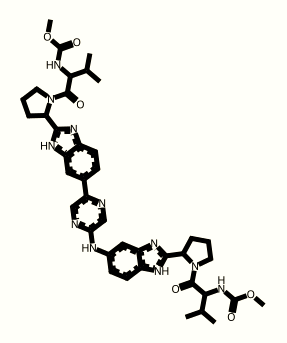 COC(=O)NC(C(=O)N1CCCC1c1nc2cc(Nc3cnc(-c4ccc5nc(C6CCCN6C(=O)C(NC(=O)OC)C(C)C)[nH]c5c4)cn3)ccc2[nH]1)C(C)C